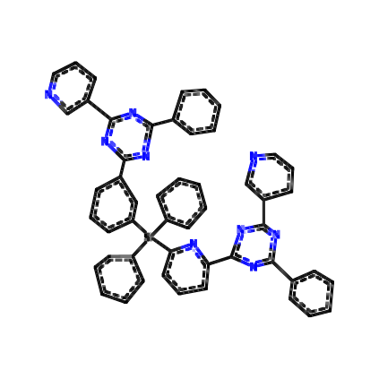 c1ccc(-c2nc(-c3cccnc3)nc(-c3cccc([Si](c4ccccc4)(c4ccccc4)c4cccc(-c5nc(-c6ccccc6)nc(-c6cccnc6)n5)n4)c3)n2)cc1